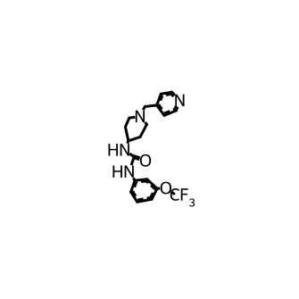 O=C(Nc1cccc(OC(F)(F)F)c1)NC1CCN(Cc2ccncc2)CC1